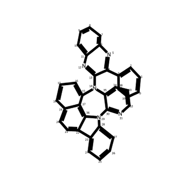 c1ccc(-c2nc3ccccc3nc2-n2c3cccc4ccc5c6ccccc6n(c6ncccc62)c5c43)cc1